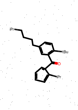 CC(C)CCCCc1ccc(C(C)(C)C)c(C(=O)c2ccccc2C(C)C)c1